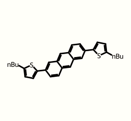 CCCCc1ccc(-c2ccc3cc4cc(-c5ccc(CCCC)s5)ccc4cc3c2)s1